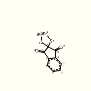 CC(C)SC1(SC(C)C)C(=O)c2ccccc2C1=O